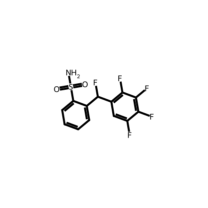 NS(=O)(=O)c1ccccc1C(F)c1cc(F)c(F)c(F)c1F